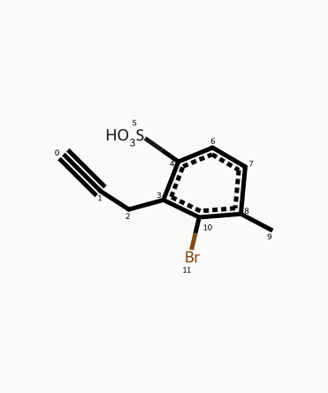 C#CCc1c(S(=O)(=O)O)ccc(C)c1Br